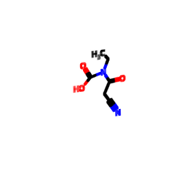 CCN(C(=O)O)C(=O)CC#N